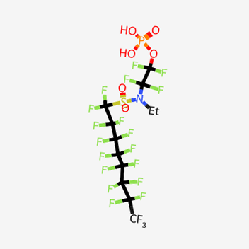 CCN(C(F)(F)C(F)(F)OP(=O)(O)O)S(=O)(=O)C(F)(F)C(F)(F)C(F)(F)C(F)(F)C(F)(F)C(F)(F)C(F)(F)C(F)(F)F